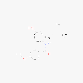 Cc1c([C@H](CC(C)(C)C)C(=O)O)c2cc(O)ccc2n1C(=O)c1ccc(OC(F)(F)F)cc1